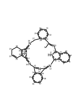 C/C1=N\c2[nH]c(c3ccccc23)/N=C2N=C(/N=c3\[nH]/c(c4c3C=CCC4)=N\Cc3ccccc31)c1ccccc1\2